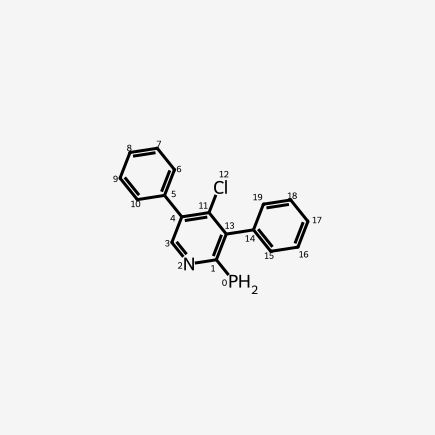 Pc1ncc(-c2ccccc2)c(Cl)c1-c1ccccc1